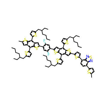 CCCCC(CC)Cc1ccc(-c2c3cc(-c4cc(F)c(-c5cc6c(-c7ccc(CC(CC)CCCC)s7)c7sc(-c8ccc(-c9ccc(-c%10ccc(C)s%10)c%10nsnc9%10)s8)cc7c(-c7ccc(CC(CC)CCCC)s7)c6s5)cc4F)sc3c(-c3ccc(CC(CC)CCCC)s3)c3cc(C)sc23)s1